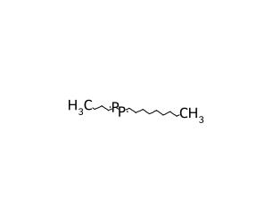 CCCCCCCCC[P][P]CCCC